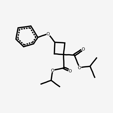 CC(C)OC(=O)C1(C(=O)OC(C)C)CC(Oc2ccccc2)C1